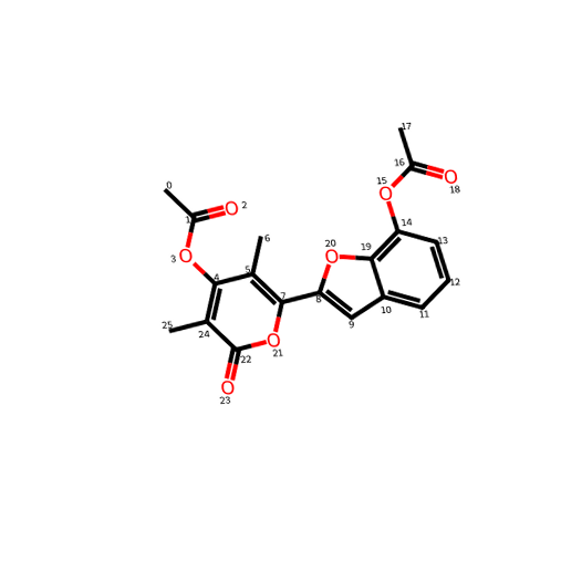 CC(=O)Oc1c(C)c(-c2cc3cccc(OC(C)=O)c3o2)oc(=O)c1C